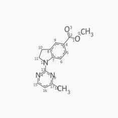 COC(=O)c1ccc2c(c1)CCN2c1nccc(C)n1